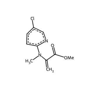 C=C(C(=O)OC)N(C)c1ccc(Cl)cn1